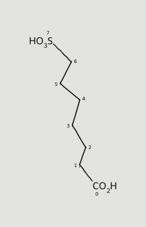 O=C(O)[CH]CCCCCS(=O)(=O)O